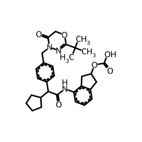 CC(C)(C)C1=NN(Cc2ccc(C(C(=O)Nc3cccc4c3CC(OC(=O)O)C4)C3CCCC3)cc2)C(=O)CO1